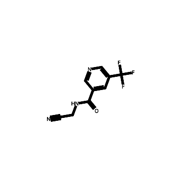 N#CCNC(=O)c1cncc(C(F)(F)F)c1